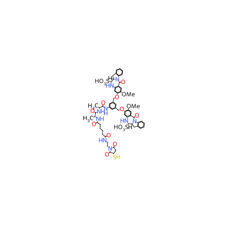 COc1cc2c(cc1OCc1cc(COc3cc4c(cc3OC)C(=O)N3c5ccccc5C[C@H]3C(S(=O)(=O)O)N4)cc(NC(=O)[C@H](C)NC(=O)[C@H](C)NC(=O)CCCCC(=O)NCCN3C(=O)CC(S)C3=O)c1)NC(S(=O)(=O)O)[C@@H]1Cc3ccccc3N1C2=O